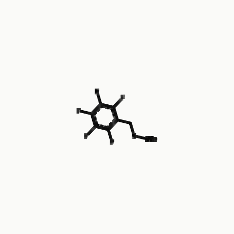 CSSCc1c(F)c(F)c(F)c(F)c1F